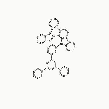 c1ccc(-c2cc(-c3ccccc3)nc(-c3cccc(-n4c5ccccc5c5ccc6c7ccccc7n7c8ccccc8nc7c6c54)c3)c2)cc1